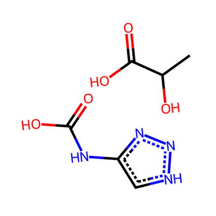 CC(O)C(=O)O.O=C(O)Nc1c[nH]nn1